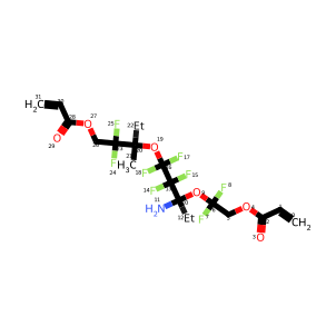 C=CC(=O)OCC(F)(F)OC(N)(CC)C(F)(F)C(F)(F)OC(C)(CC)C(F)(F)COC(=O)C=C